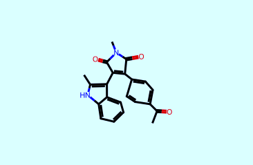 CC(=O)c1ccc(C2=C(c3c(C)[nH]c4ccccc34)C(=O)N(C)C2=O)cc1